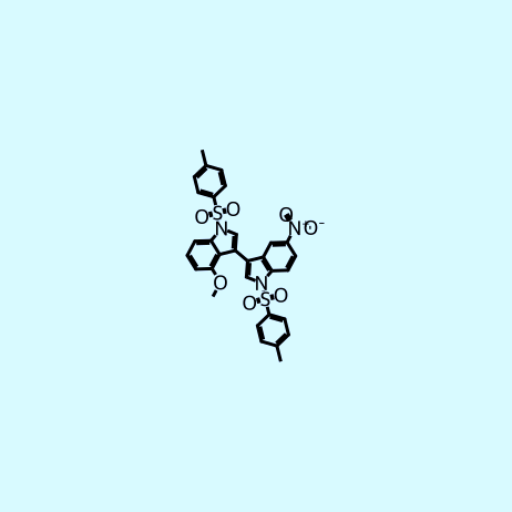 COc1cccc2c1c(-c1cn(S(=O)(=O)c3ccc(C)cc3)c3ccc([N+](=O)[O-])cc13)cn2S(=O)(=O)c1ccc(C)cc1